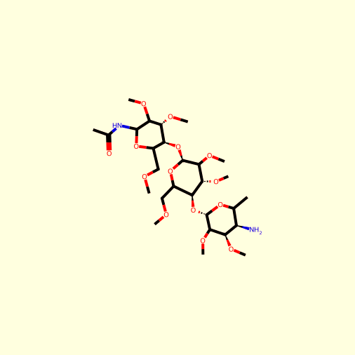 COCC1OC(NC(C)=O)C(OC)[C@H](OC)[C@H]1O[C@@H]1OC(COC)[C@H](O[C@@H]2OC(C)[C@@H](N)[C@@H](OC)C2OC)[C@@H](OC)C1OC